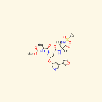 C=C[C@@](CC)(NC(=O)[C@@H]1C[C@@H](Oc2cncc(-c3ccoc3)c2)CN1C(=O)[C@@H](NC(=O)OC(C)(C)C)C(C)(C)C)C(=O)NS(=O)(=O)C1CC1